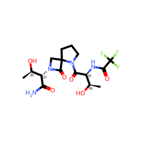 C[C@@H](O)[C@H](NC(=O)C(F)(F)F)C(=O)N1CCCC12CN([C@H](C(N)=O)[C@@H](C)O)C2=O